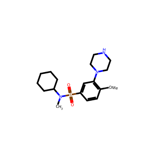 COc1ccc(S(=O)(=O)N(C)C2CCCCC2)cc1N1CCNCC1